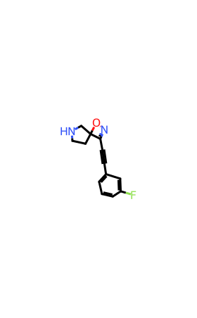 Fc1cccc(C#CC2=NOC23CCNC3)c1